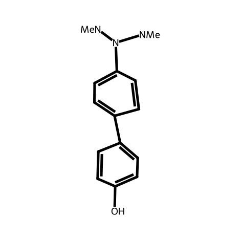 CNN(NC)c1ccc(-c2ccc(O)cc2)cc1